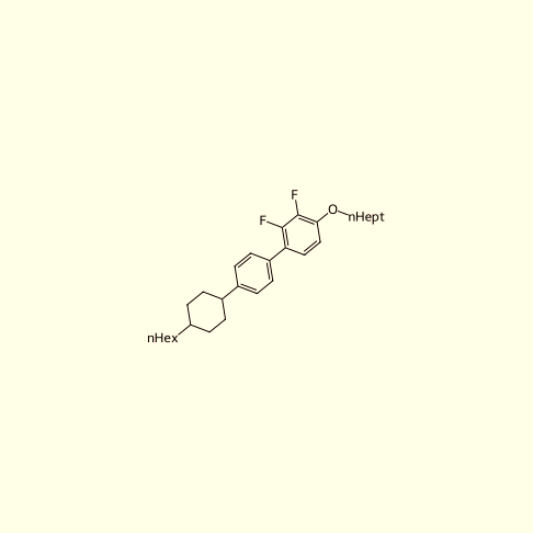 CCCCCCCOc1ccc(-c2ccc(C3CCC(CCCCCC)CC3)cc2)c(F)c1F